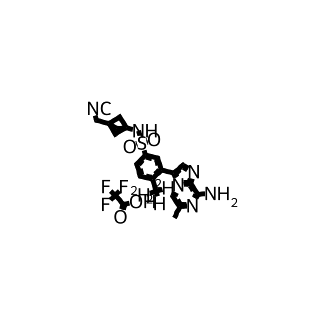 O=C(O)C(F)(F)F.[2H]C([2H])([2H])c1ccc(S(=O)(=O)NC23CC(C[N+]#[C-])(C2)C3)cc1-c1cnc2c(N)nc(C)cn12